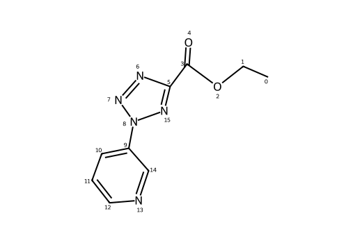 CCOC(=O)c1nnn(-c2cccnc2)n1